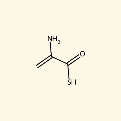 C=C(N)C(=O)S